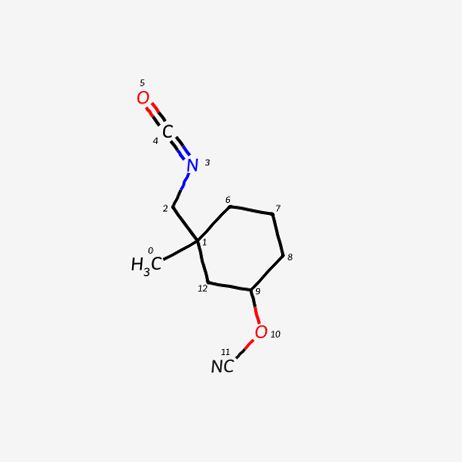 CC1(CN=C=O)CCCC(OC#N)C1